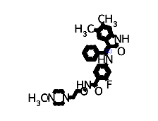 Cc1cc2c(cc1C)/C(=C(/Nc1ccc(C(=O)NOCCN3CCN(C)CC3)c(F)c1)c1ccccc1)C(=O)N2